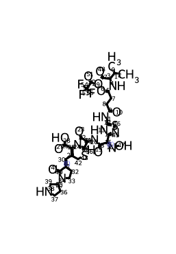 CC(C)C(NC(=O)CCC(=O)Nc1nc(/C(=N\O)C(=O)N[C@@H]2C(=O)N3C(C(=O)O)=C(/C=C4\CCN([C@@H]5CCNC5)C4=O)CS[C@H]23)ns1)C(=O)OC(=O)C(F)(F)F